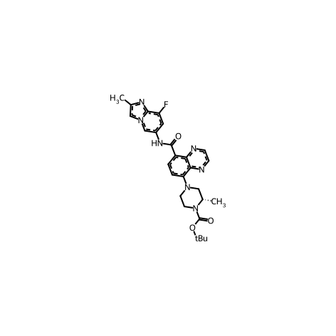 Cc1cn2cc(NC(=O)c3ccc(N4CCN(C(=O)OC(C)(C)C)[C@@H](C)C4)c4nccnc34)cc(F)c2n1